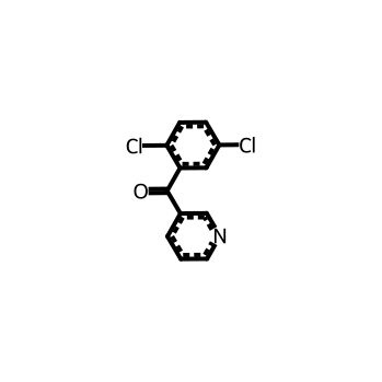 O=C(c1cccnc1)c1cc(Cl)ccc1Cl